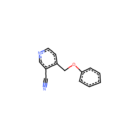 N#Cc1cnccc1COc1[c]cccc1